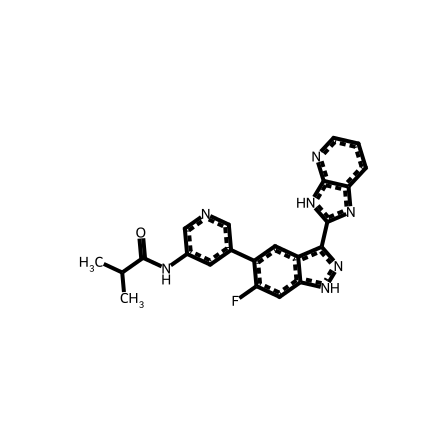 CC(C)C(=O)Nc1cncc(-c2cc3c(-c4nc5cccnc5[nH]4)n[nH]c3cc2F)c1